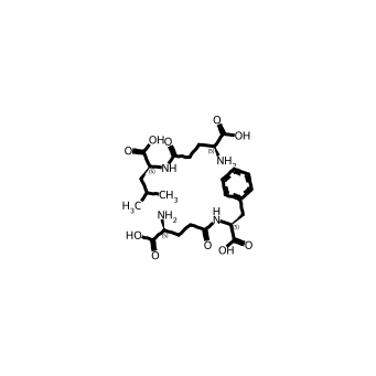 CC(C)C[C@H](NC(=O)CC[C@H](N)C(=O)O)C(=O)O.N[C@@H](CCC(=O)N[C@@H](Cc1ccccc1)C(=O)O)C(=O)O